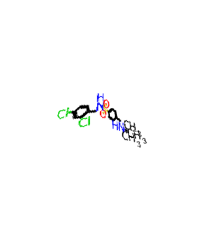 CC(C)(C)NCc1ccc(S(=O)(=O)NCc2ccc(Cl)cc2Cl)cc1